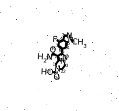 Cn1ncc2c(F)cc(-c3nn4c(c3C(N)=O)CN(C(=O)O)CC4)cc21